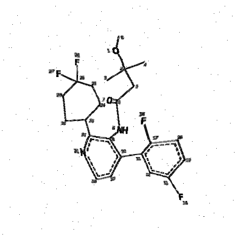 COC(C)(C)CC(=O)Nc1c(-c2cc(F)ccc2F)ccnc1C1CCC(F)(F)CC1